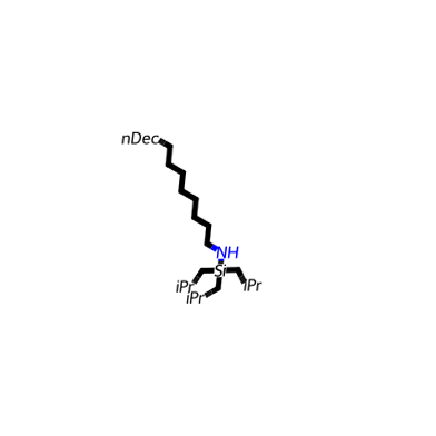 CCCCCCCCCCCCCCCCCCN[Si](CC(C)C)(CC(C)C)CC(C)C